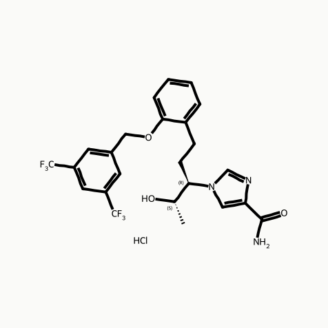 C[C@H](O)[C@@H](CCc1ccccc1OCc1cc(C(F)(F)F)cc(C(F)(F)F)c1)n1cnc(C(N)=O)c1.Cl